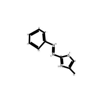 Cc1csc(/N=N/c2ccccc2)n1